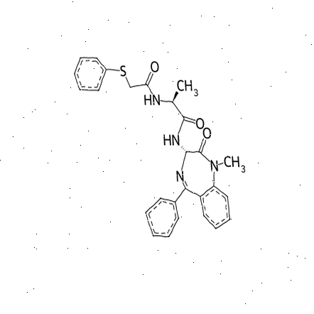 C[C@H](NC(=O)CSc1ccccc1)C(=O)N[C@H]1N=C(c2ccccc2)c2ccccc2N(C)C1=O